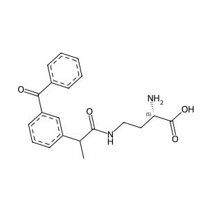 CC(C(=O)NCC[C@H](N)C(=O)O)c1cccc(C(=O)c2ccccc2)c1